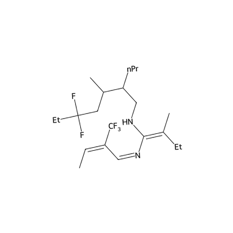 C\C=C(/C=N\C(NCC(CCC)C(C)CC(F)(F)CC)=C(\C)CC)C(F)(F)F